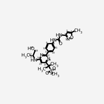 Cc1cc(NC(=O)Nc2ccc(-c3nc(N[C@@H](C)CO)cc(C(C)(C)S(C)(=O)=O)n3)cc2)no1